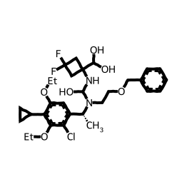 CCOc1cc([C@@H](C)N(CCOCc2ccccc2)C(O)NC2(C(O)O)CC(F)(F)C2)c(Cl)c(OCC)c1C1CC1